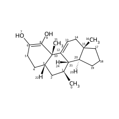 C[C@H]1C[C@@H]2CCC(O)=C(O)[C@]2(C)C2=CC[C@]3(C)CCC[C@H]3[C@@H]21